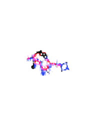 CSCC[C@H](NC(=O)[C@H](CC(C)C)NC(=O)[C@H](Cc1c[nH]cn1)NC(=O)CNC(=O)[C@@H](NC(=O)[C@H](C)NC(=O)[C@H](Cc1c[nH]c2ccccc12)NC(=O)[C@H](CCC(N)=O)NC(=O)CC[C@@H](C)[C@H]1CCC2C3C(C[C@H](O)[C@@]21C)[C@@]1(C)CC[C@H](NC(=O)COCCOCCNC(=O)CN2CCN(CC(=O)O)CCN(CC(=O)O)CCN(CC(=O)O)CC2)C[C@H]1C[C@H]3O)C(C)C)C(N)=O